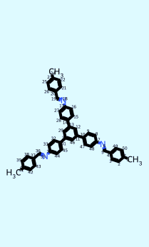 Cc1ccc(/C=N/c2ccc(-c3cc(-c4ccc(/N=C/c5ccc(C)cc5)cc4)cc(-c4ccc(/N=C/c5ccc(C)cc5)cc4)c3)cc2)cc1